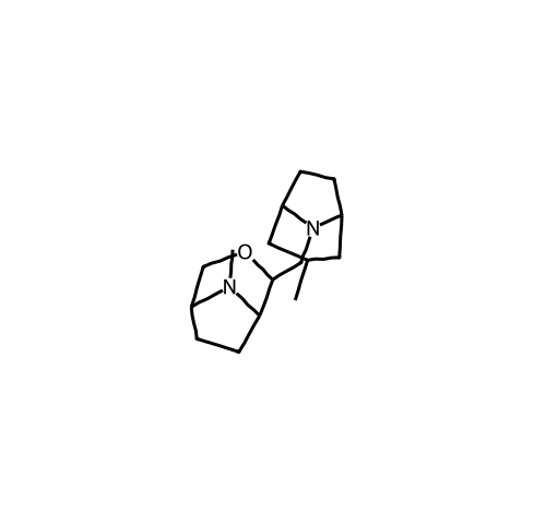 CC1CC2CCC(C1)N2CC1OCC2CCC1N2C